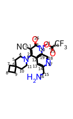 N#Cc1c(N2CCC3(CCC3)CC2)c2cc(CN)ncc2n(OC(=O)C(F)(F)F)c1=O